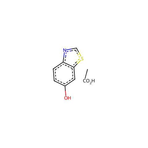 CC(=O)O.Oc1ccc2ncsc2c1